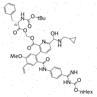 C=Cc1cc(C(=O)Nc2ccc(C(=N)NC(=O)OCCCCCC)cc2)c(-c2ccc(C(O)NCC3CC3)nc2C(=O)OCOC(=O)[C@H](Cc2ccccc2)NC(=O)OC(C)(C)C)cc1OC